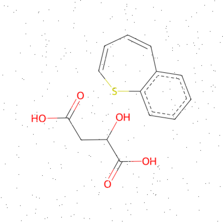 C1=CSc2ccccc2C=C1.O=C(O)CC(O)C(=O)O